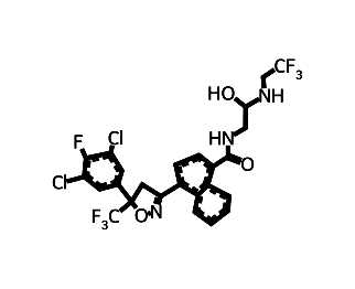 O=C(NCC(O)NCC(F)(F)F)c1ccc(C2=NOC(c3cc(Cl)c(F)c(Cl)c3)(C(F)(F)F)C2)c2ccccc12